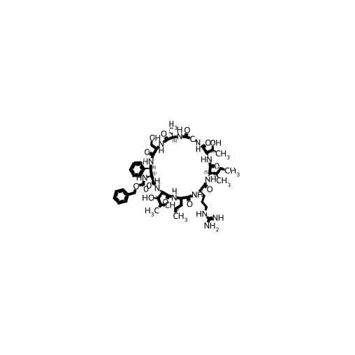 CCCC1NC(=O)[C@H]([C@H](O)C(C)C)NC(=O)[C@@H](NC(=O)OCc2ccccc2)[C@@H](c2ccccc2)NC(=O)C(CO)NC(=O)[C@H](C)NC(=O)CNC(=O)[C@H]([C@H](C)O)NC(=O)[C@H]([C@@H](C)CC)NC(=O)[C@@H](CCCNC(=N)N)NC1=O